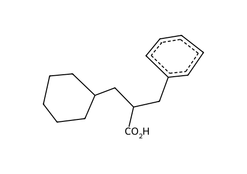 O=C(O)C(Cc1ccccc1)CC1CCCCC1